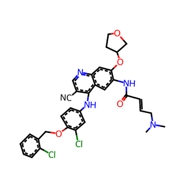 CN(C)CC=CC(=O)Nc1cc2c(Nc3ccc(OCc4ccccc4Cl)c(Cl)c3)c(C#N)cnc2cc1OC1CCOC1